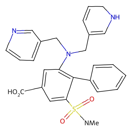 CNS(=O)(=O)c1cc(C(=O)O)cc(N(CC2=CNCC=C2)Cc2cccnc2)c1-c1ccccc1